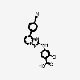 N#Cc1ccc(-c2cccn3nc(Nc4ccc(C(=O)O)c(Cl)c4)nc23)cc1